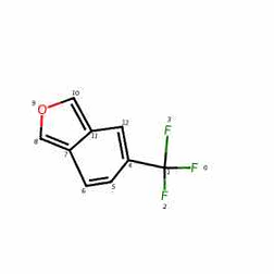 FC(F)(F)c1ccc2cocc2c1